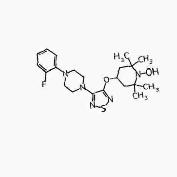 CC1(C)CC(Oc2nsnc2N2CCN(c3ccccc3F)CC2)CC(C)(C)N1O